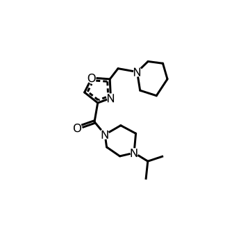 CC(C)N1CCN(C(=O)c2coc(CN3CCCCC3)n2)CC1